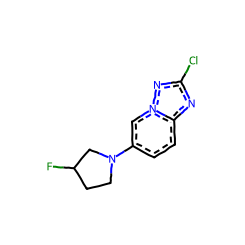 FC1CCN(c2ccc3nc(Cl)nn3c2)C1